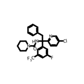 O=C(NC(Cc1ccccc1)(c1cc(F)cc(C(F)(F)F)c1)c1ccc(Cl)cn1)N1CCCCC1